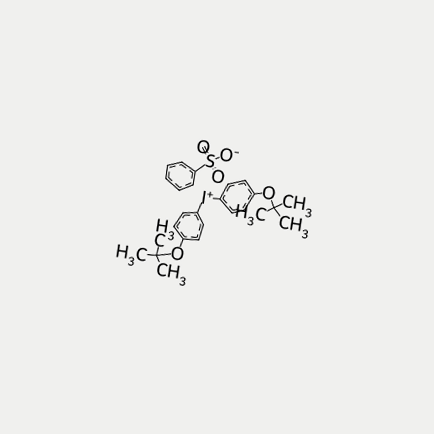 CC(C)(C)Oc1ccc([I+]c2ccc(OC(C)(C)C)cc2)cc1.O=S(=O)([O-])c1ccccc1